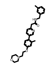 Cc1cccc(CNC(=O)Cc2ccc(-c3ccc(OCCN4CCOCC4)cc3C)cn2)c1